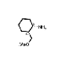 COC[C@H]1CCCC[C@@H]1N